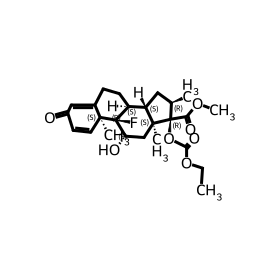 CCOC(=O)O[C@]1(C(=O)OC)[C@H](C)C[C@H]2[C@@H]3CCC4=CC(=O)C=C[C@]4(C)[C@@]3(F)[C@@H](O)C[C@@]21C